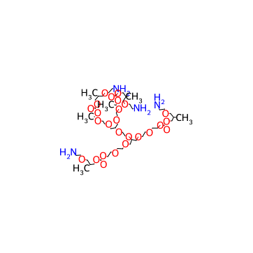 CC(COCCN)COC(=O)OCCOCCOCC(COCCOCCOC(=O)OCC(C)COCCN)OCCOC(COCCOC(C)OC(=O)OCC(C)COCCN)COCCOC(C)OC(=O)OCC(C)COCCN